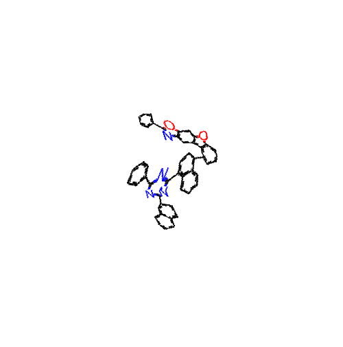 c1ccc(-c2nc(-c3ccc4ccccc4c3)nc(-c3ccc(-c4cccc5oc6cc7oc(-c8ccccc8)nc7cc6c45)c4ccccc34)n2)cc1